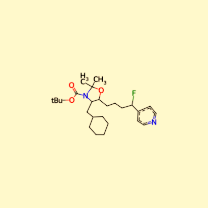 CC(C)(C)OC(=O)N1C(CC2CCCCC2)C(CCCC(F)c2ccncc2)OC1(C)C